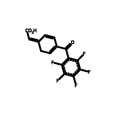 O=C(O)C=C1C=CC(C(=O)c2c(F)c(F)c(F)c(F)c2F)=CC1